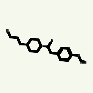 CCCCOc1ccc(CC(F)[C@H]2CC[C@H](CCCF)CC2)cc1